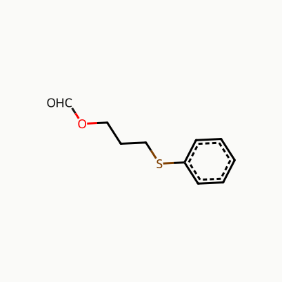 O=COCCCSc1ccccc1